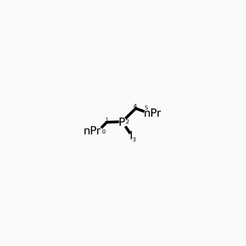 CCCCP(I)CCCC